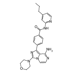 CCCc1ccnc(NC(=O)c2ccc(-c3nc(N4CCOCC4)n4ccnc(N)c34)cc2)c1